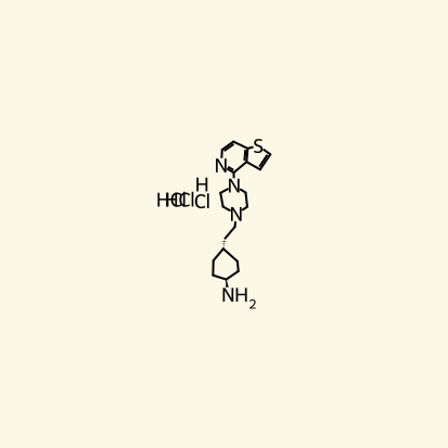 Cl.Cl.Cl.N[C@H]1CC[C@H](CCN2CCN(c3nccc4sccc34)CC2)CC1